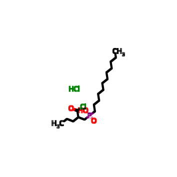 CCCCCCCCCCCCP(=O)(O)CC(CCC)C(=O)Cl.Cl